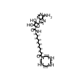 Nc1ncnc2c1ncn2[C@@H]1O[C@H](C(=O)NCCCCCCCCCCC(=O)N2CCNCCNCCNCC2)[C@@H](O)[C@H]1O